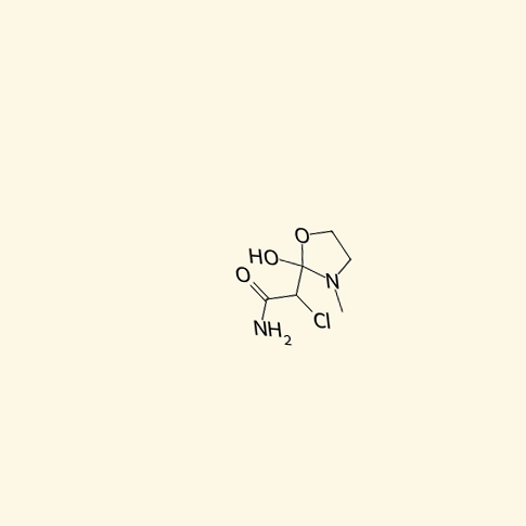 CN1CCOC1(O)C(Cl)C(N)=O